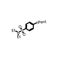 CCCCCc1ccc(S(=O)(=O)N(CC)CC)cc1